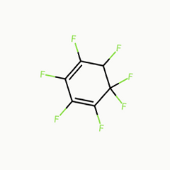 FC1=C(F)C(F)C(F)(F)C(F)=C1F